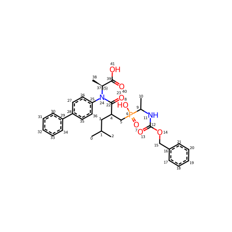 CC(C)CC(CP(=O)(O)C(C)NC(=O)OCc1ccccc1)C(=O)N(c1ccc(-c2ccccc2)cc1)[C@@H](C)C(=O)O